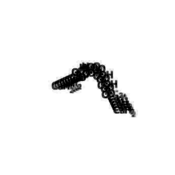 O.O.O=P([O-])([O-])O.O=P([O-])([O-])O.O=P([O-])([O-])O.O=P([O-])([O-])[O-].O=P([O-])([O-])[O-].[Ca+2].[Ca+2].[Ca+2].[Ca+2].[Ca+2].[Ca+2].[CaH2].[CaH2].[CaH2].[CaH2].[CaH2].[CaH2].[CaH2].[CaH2]